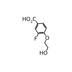 O=C(O)c1ccc(OCCO)c(F)c1